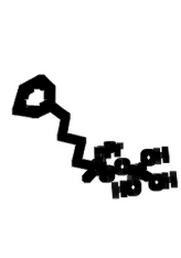 CCC[Si](C)(CCCCc1ccccc1)OO[Si](O)(O)O